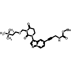 CC(C)(C)OC(=O)NCC#Cc1ccn2ncc(N3CCC(=O)N(COCC[Si](C)(C)C)C3=O)c2c1